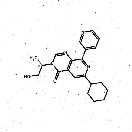 C[C@@H](CO)n1cnc2c(-c3cccnc3)nc(C3CCCCC3)cc2c1=O